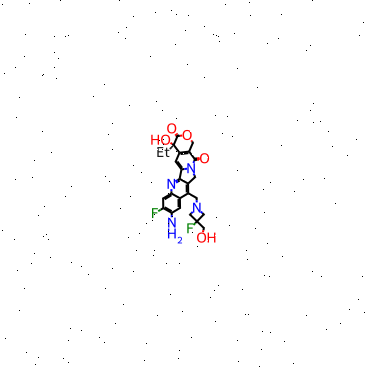 CC[C@@]1(O)C(=O)OCc2c1cc1n(c2=O)Cc2c-1nc1cc(F)c(N)cc1c2CN1CC(F)(CO)C1